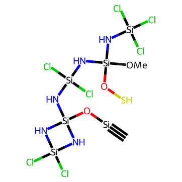 C#[Si]O[Si]1(N[Si](Cl)(Cl)N[Si](N[Si](Cl)(Cl)Cl)(OC)OS)N[Si](Cl)(Cl)N1